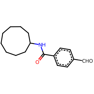 O=Cc1ccc(C(=O)NC2CCCCCCCC2)cc1